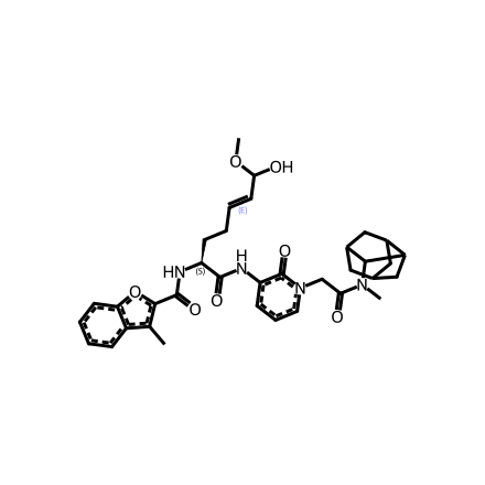 COC(O)/C=C/CC[C@H](NC(=O)c1oc2ccccc2c1C)C(=O)Nc1cccn(CC(=O)N(C)C2C3CC4CC(C3)C2C4)c1=O